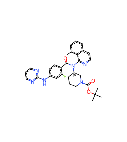 Cc1cccc2ccnc(N(C(=O)c3ccc(Nc4ncccn4)cc3F)[C@@H]3CCCN(C(=O)OC(C)(C)C)C3)c12